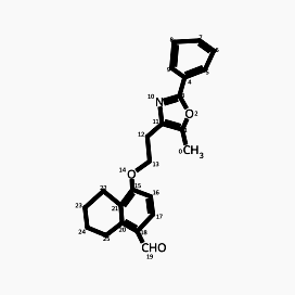 Cc1oc(-c2ccccc2)nc1CCOc1ccc(C=O)c2c1CCCC2